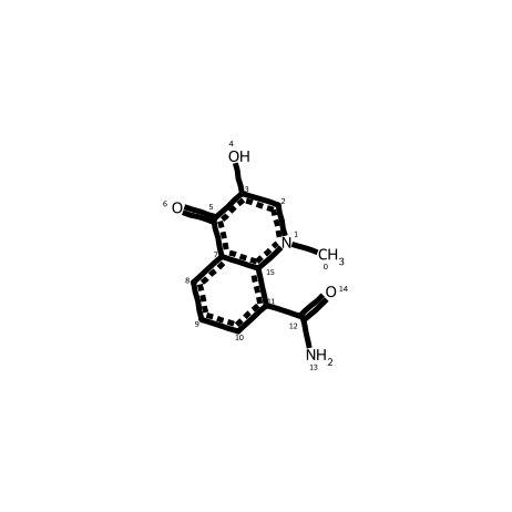 Cn1cc(O)c(=O)c2cccc(C(N)=O)c21